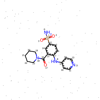 NS(=O)(=O)c1ccc(Nc2ccncc2)c(C(=O)N2CCCCC2)c1